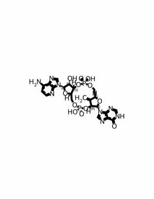 C=C1[C@H]2OP(=O)(O)OC[C@H]3O[C@@H](n4cnc5c(N)ccnc54)[C@H](O)[C@@H]3OP(=O)(O)OC[C@H]1O[C@H]2n1cnc2c(=O)[nH]cnc21